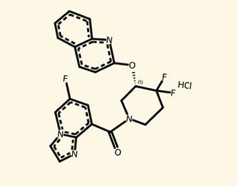 Cl.O=C(c1cc(F)cn2ccnc12)N1CCC(F)(F)[C@@H](Oc2ccc3ccccc3n2)C1